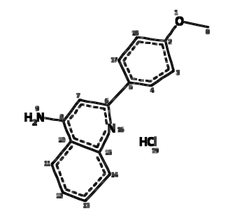 COc1ccc(-c2cc(N)c3ccccc3n2)cc1.Cl